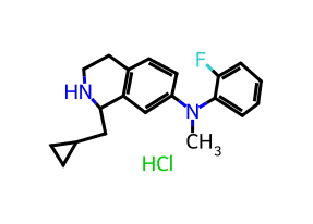 CN(c1ccc2c(c1)C(CC1CC1)NCC2)c1ccccc1F.Cl